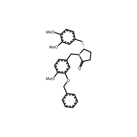 COc1ccc(C[C@@H]2CCC(=O)N2Cc2ccc(OC)c(OCc3ccccc3)c2)cc1OC